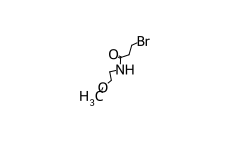 COCCNC(=O)CCBr